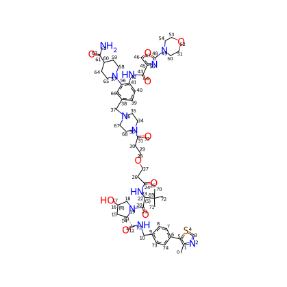 Cc1ncsc1-c1ccc(CNC(=O)[C@@H]2C[C@@H](O)CN2C(=O)[C@@H](NC(=O)CCOCCC(=O)N2CCN(Cc3ccc(NC(=O)c4coc(N5CCOCC5)n4)c(N4CCC(C(N)=O)CC4)c3)CC2)C(C)(C)C)cc1